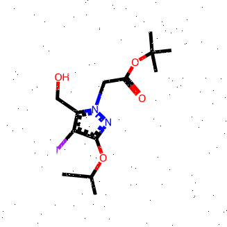 CC(C)Oc1nn(CC(=O)OC(C)(C)C)c(CO)c1I